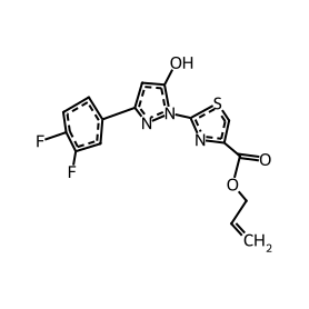 C=CCOC(=O)c1csc(-n2nc(-c3ccc(F)c(F)c3)cc2O)n1